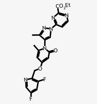 CCOC(=O)c1nccc(-n2cc(-n3c(C)cc(OCc4ncc(F)cc4F)cc3=O)c(C)n2)n1